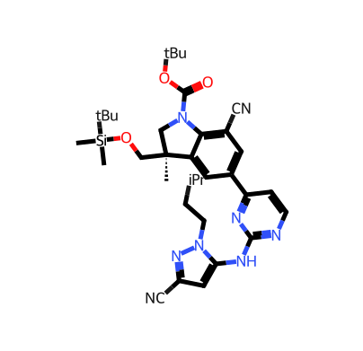 CC(C)CCn1nc(C#N)cc1Nc1nccc(-c2cc(C#N)c3c(c2)[C@@](C)(CO[Si](C)(C)C(C)(C)C)CN3C(=O)OC(C)(C)C)n1